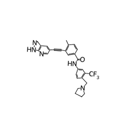 Cc1ccc(C(=O)Nc2ccc(CN3CCCC3)c(C(F)(F)F)c2)cc1C#Cc1cnc2[nH]ncc2c1